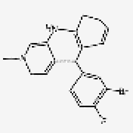 CN1C=C2NC3=C(C=CCC3)C(c3ccc(F)c(Br)c3)C2=CC1